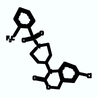 O=C1OCc2cc(Cl)ccc2N1C1CCN(S(=O)(=O)c2ccccc2C(F)(F)F)CC1